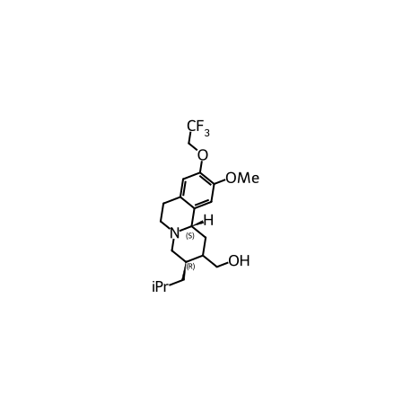 COc1cc2c(cc1OCC(F)(F)F)CCN1C[C@H](CC(C)C)C(CO)C[C@@H]21